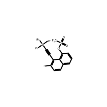 CC(C)[Si](C#Cc1c(F)ccc2cccc(OS(=O)(=O)C(F)(F)F)c12)(C(C)C)C(C)C